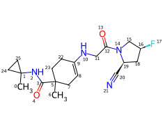 CC1(NC(=O)C2(C)CC=C(NCC(=O)N3C[C@@H](F)C[C@H]3C#N)CC2)CC1